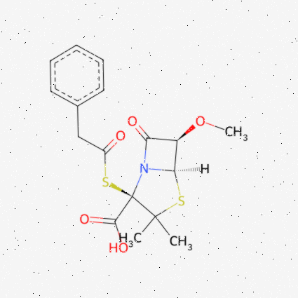 CO[C@@H]1C(=O)N2[C@@H]1SC(C)(C)[C@]2(SC(=O)Cc1ccccc1)C(=O)O